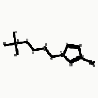 CC(=O)c1ccn(COCC[Si](C)(C)C)c1